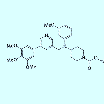 COc1cccc(N(Cc2cncc(-c3cc(OC)c(OC)c(OC)c3)c2)C2CCN(C(=O)OC(C)(C)C)CC2)c1